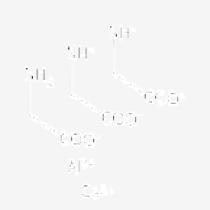 NCC(=O)[O-].[Al+3].[Ca+2].[NH-]CC(=O)[O-].[NH-]CC(=O)[O-]